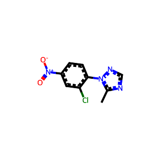 Cc1ncnn1-c1ccc([N+](=O)[O-])cc1Cl